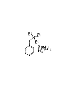 B.CC[N+](CC)(CC)Cc1ccccc1.N.[BH4-]